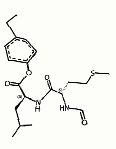 CCc1ccc(OC(=O)[C@H](CC(C)C)NC(=O)[C@H](CCSC)NC=O)cc1